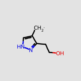 [CH2]c1c[nH]nc1CCO